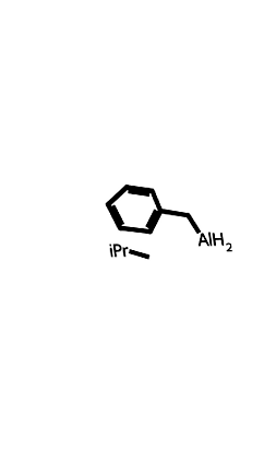 CC(C)C.[AlH2][CH2]c1ccccc1